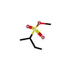 CCC(C)S(=O)(=O)OC